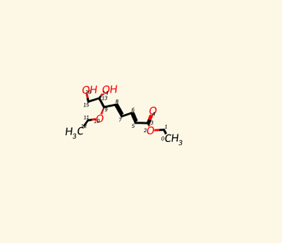 CCOC(=O)/C=C/C=C/[C@@H](OCC)C(O)CO